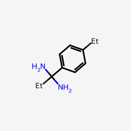 CCc1ccc(C(N)(N)CC)cc1